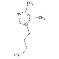 Cc1n[c]n(CCCC(=O)O)c1C